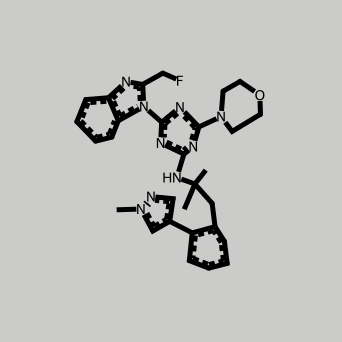 Cn1cc(-c2ccccc2CC(C)(C)Nc2nc(N3CCOCC3)nc(-n3c(CF)nc4ccccc43)n2)cn1